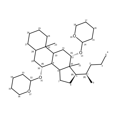 C[C@H](CCI)[C@H]1CCC2C3C(C[C@H](OC4CCCCO4)C21C)C1(C)CCCCC1C[C@H]3OC1CCCCO1